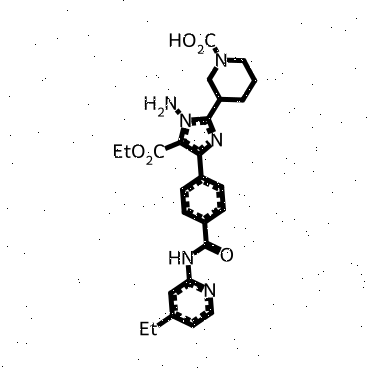 CCOC(=O)c1c(-c2ccc(C(=O)Nc3cc(CC)ccn3)cc2)nc(C2CCCN(C(=O)O)C2)n1N